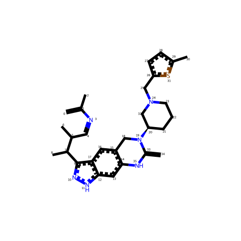 C=C(C)/N=C\C(C)C(C)c1n[nH]c2cc3c(cc12)CN([C@@H]1CCCN(Cc2ccc(C)s2)C1)C(=C)N3